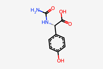 NC(=O)N[C@H](C(=O)O)c1ccc(O)cc1